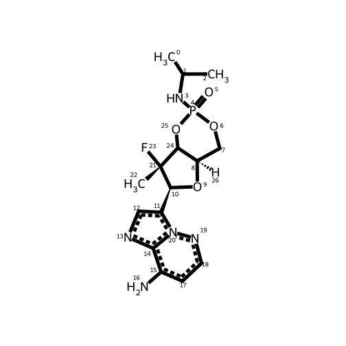 CC(C)NP1(=O)OC[C@H]2O[C@@H](c3cnc4c(N)ccnn34)[C@](C)(F)C2O1